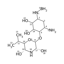 BNC1CC(N)C(OC2OC(C(C)C)[C@@H](O)N[C@H]2O)C(O)C1O